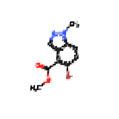 COC(=O)c1c(Br)ccc2c1cnn2C